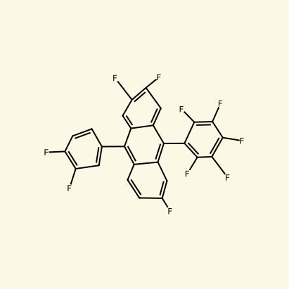 Fc1ccc2c(-c3ccc(F)c(F)c3)c3cc(F)c(F)cc3c(-c3c(F)c(F)c(F)c(F)c3F)c2c1